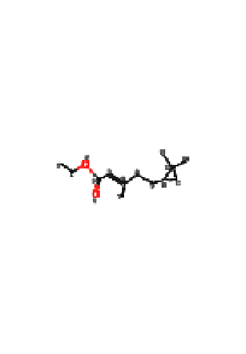 CCOC(=O)/C=C(\C)CCC1CC1(C)C